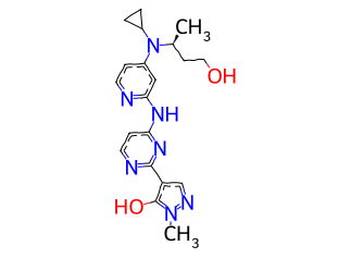 C[C@@H](CCO)N(c1ccnc(Nc2ccnc(-c3cnn(C)c3O)n2)c1)C1CC1